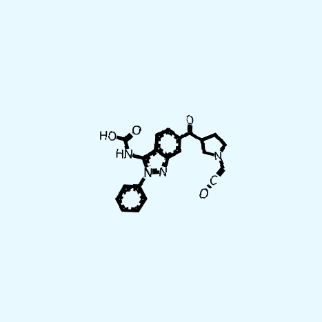 O=C=CN1CCC(C(=O)c2ccc3c(NC(=O)O)n(-c4ccccc4)nc3c2)C1